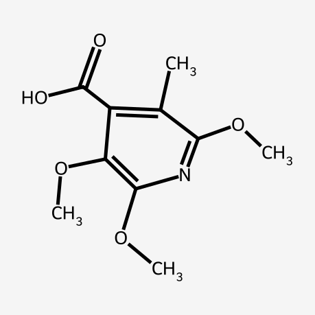 COc1nc(OC)c(OC)c(C(=O)O)c1C